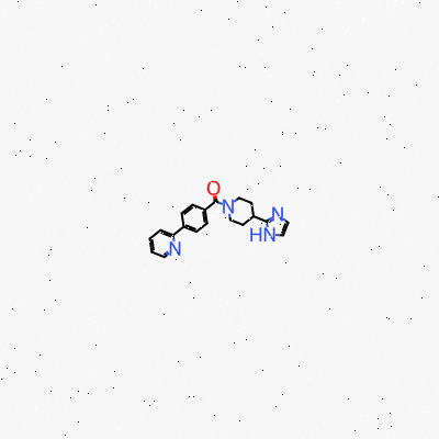 O=C(c1ccc(-c2ccccn2)cc1)N1CCC(c2ncc[nH]2)CC1